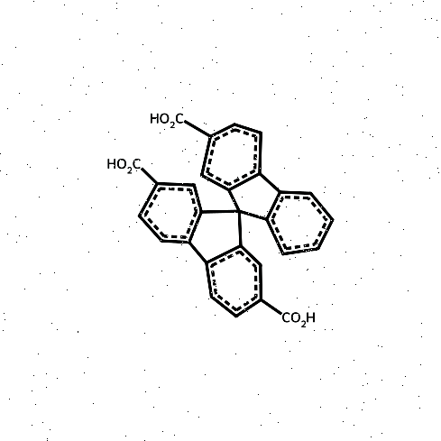 O=C(O)c1ccc2c(c1)C1(c3ccccc3-2)c2cc(C(=O)O)ccc2-c2ccc(C(=O)O)cc21